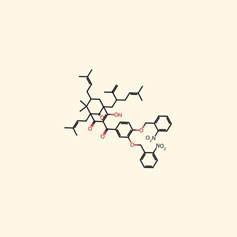 C=C(C)C(CC=C(C)C)CC12CC(CC=C(C)C)C(C)(C)C(CC=C(C)C)(C(=O)C(C(=O)c3ccc(OCc4ccccc4[N+](=O)[O-])c(OCc4ccccc4[N+](=O)[O-])c3)=C1O)C2=O